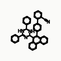 N#Cc1ccccc1-c1ccc(-c2c(C3N=C(c4ccccc4)NC(c4ccccc4)N3)c3ccccc3c3ccccc23)cc1